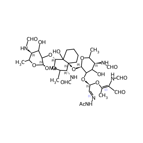 CO[C@H]1OC(C)[C@@H](NC=O)C(O)C1O[C@H]1OC(C)[C@@H](NC=O)[C@@]2(O[C@H]3OC(C)[C@@H](NC=O)C(O)C3O[C@H](/C=N/NC(C)=O)O/C(C)=C(/C=O)NC=O)CCCCC12O